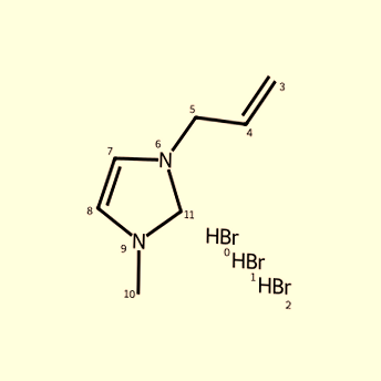 Br.Br.Br.C=CCN1C=CN(C)C1